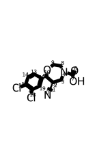 N#C[C@@H]1CN(C(=O)O)CCO[C@H]1c1ccc(Cl)c(Cl)c1